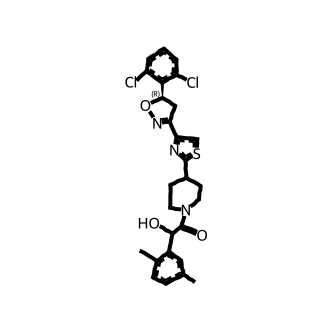 Cc1ccc(C)c(C(O)C(=O)N2CCC(c3nc(C4=NO[C@@H](c5c(Cl)cccc5Cl)C4)cs3)CC2)c1